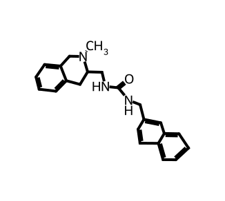 CN1Cc2ccccc2CC1CNC(=O)NCc1ccc2ccccc2c1